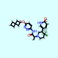 CC(C(=O)Nc1ccc(OC2CC3(CCC3)C2)nn1)N1CCC(F)(F)C(c2ccc(=O)[nH]c2)C1